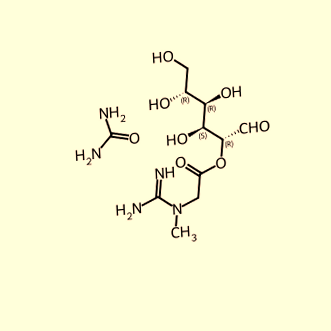 CN(CC(=O)O[C@@H](C=O)[C@@H](O)[C@H](O)[C@H](O)CO)C(=N)N.NC(N)=O